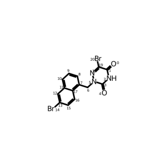 O=c1[nH]c(=O)n(Cc2cccc3cc(Br)ccc23)nc1Br